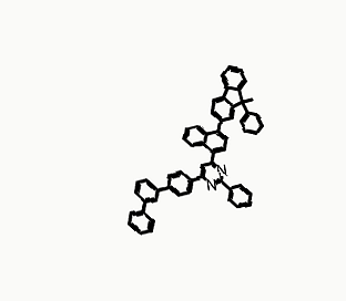 CC1(c2ccccc2)c2ccccc2-c2ccc(-c3ccc(-c4cc(-c5ccc(-c6cccc(-c7ccccc7)c6)cc5)nc(-c5ccccc5)n4)c4ccccc34)cc21